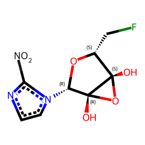 O=[N+]([O-])c1nccn1[C@@H]1O[C@H](CF)[C@]2(O)O[C@]12O